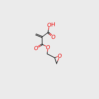 C=C(C(=O)O)C(=O)OCC1CO1